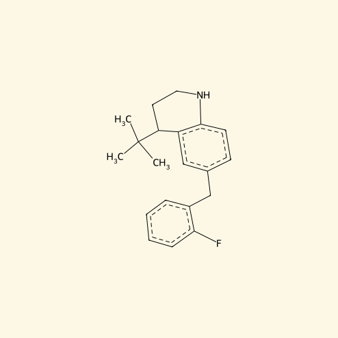 CC(C)(C)C1CCNc2ccc(Cc3ccccc3F)cc21